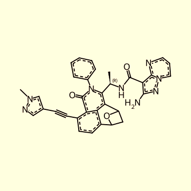 C[C@@H](NC(=O)c1c(N)nn2cccnc12)c1c2c3c(ccc(C#Cc4cnn(C)c4)c3c(=O)n1-c1ccccc1)C1CC2O1